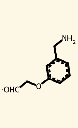 NCc1cccc(OC[C]=O)c1